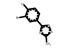 Cc1nnc(-c2ccc(Cl)c(Br)c2)o1